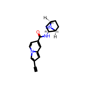 C#Cc1cc2cc(C(=O)N[C@@H]3C[C@H]4CC[C@@H]3N4)ccn2c1